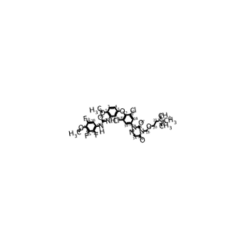 COc1ccc(Oc2c(Cl)cc(-n3ncc(=O)n(COCC[Si](C)(C)C)c3=O)cc2Cl)cc1NC(=O)Nc1cc(F)c(OC)c(F)c1F